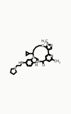 Cc1cc2cc(n1)-c1cnn(C)c1OCCCC(C1CC1)N1/C(=N/C2=O)Nc2ccc(NCCN3CCCC3)cc21